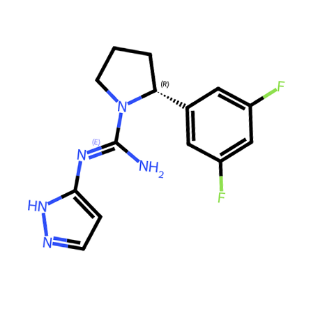 N/C(=N\c1ccn[nH]1)N1CCC[C@@H]1c1cc(F)cc(F)c1